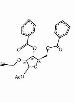 C#CCO[C@H]1C(OC(C)=O)O[C@H](COC(=O)c2ccccc2)[C@H]1OC(=O)c1ccccc1